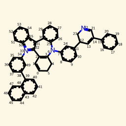 C1=CC2=C(CC1)N(c1cccc(C3C=C(c4ccccc4)C=NC3)c1)c1ccccc1-c1c2n(-c2cccc(-c3cccc4ccccc34)c2)c2ccccc12